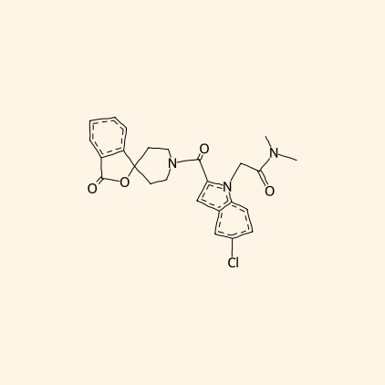 CN(C)C(=O)Cn1c(C(=O)N2CCC3(CC2)OC(=O)c2ccccc23)cc2cc(Cl)ccc21